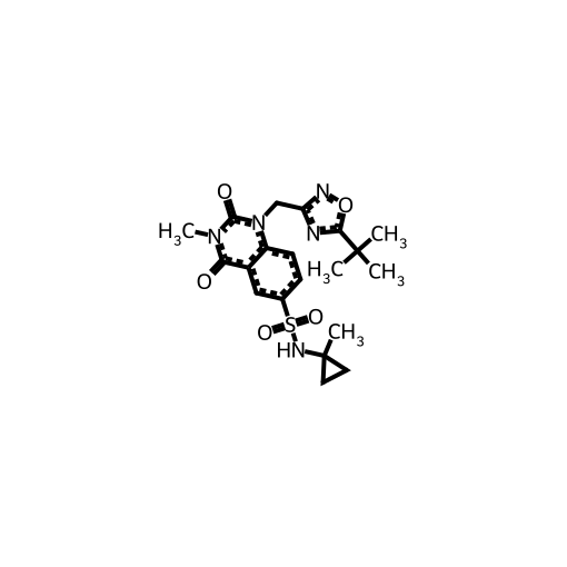 Cn1c(=O)c2cc(S(=O)(=O)NC3(C)CC3)ccc2n(Cc2noc(C(C)(C)C)n2)c1=O